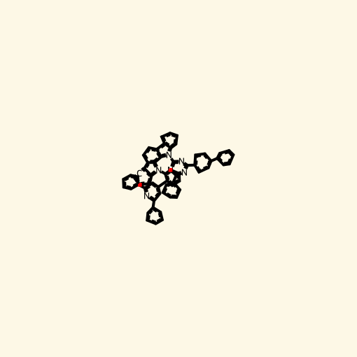 c1ccc(-c2ccc(-c3nc(-c4ccccc4)nc(-n4c5ccccc5c5ccc6c7ccccc7n(-c7ccccc7-c7cc(-c8ccccc8)nc(-c8ccccc8)c7)c6c54)n3)cc2)cc1